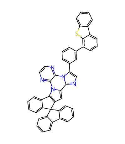 c1cc(-c2cccc3c2sc2ccccc23)cc(-c2cnc3c4cc5c(n4c4nccnc4n23)-c2ccccc2C52c3ccccc3-c3ccccc32)c1